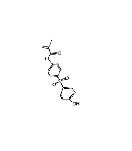 C=C(C)C(=O)Oc1ccc(S(=O)(=O)c2ccc(O)cc2)cc1